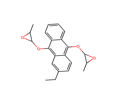 CCc1ccc2c(OC3OC3C)c3ccccc3c(OC3OC3C)c2c1